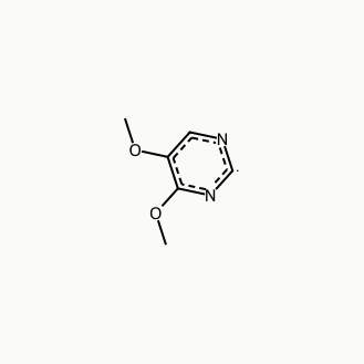 COc1cn[c]nc1OC